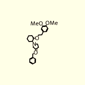 COc1ccc(CCO[C@H]2CCCCC2N2CC[C@H](OCc3ccccc3)C2)cc1OC